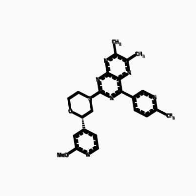 COc1cc([C@H]2CN(c3nc(-c4ccc(C(F)(F)F)nc4)c4nc(C)c(C)nc4n3)CCO2)ccn1